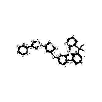 CC1(C)c2cccnc2-n2c3cc(Oc4cccc(-n5cc(-c6ccncc6)cn5)c4)ccc3c3cccc1c32